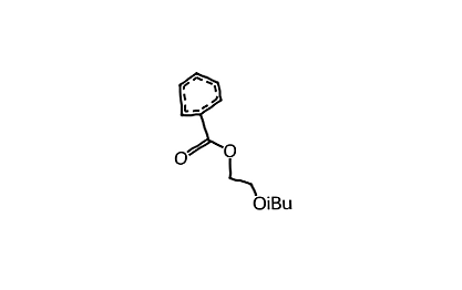 CC(C)COCCOC(=O)c1ccccc1